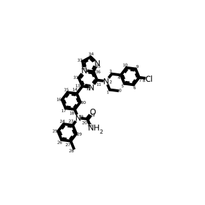 CCN(Cc1ccc(Cl)cc1)c1nc(-c2cccc(N(C(N)=O)c3cccc(C)c3)c2)cn2ccnc12